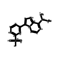 CCCCN(CCC)c1nccn2c(-c3ccnc(S(C)(=O)=O)n3)cnc12